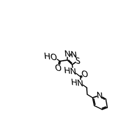 O=C(NCCc1ccccn1)Nc1snnc1C(=O)O